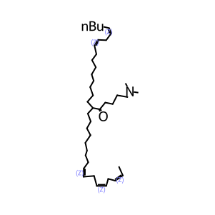 C/C=C\C/C=C\C/C=C\CCCCCCCCC(CCCCCCCC/C=C\C/C=C\CCCC)C(=O)CCCCN(C)C